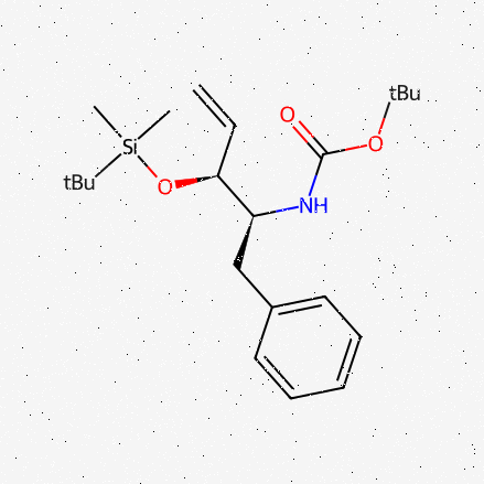 C=C[C@H](O[Si](C)(C)C(C)(C)C)[C@H](Cc1ccccc1)NC(=O)OC(C)(C)C